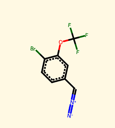 [N-]=[N+]=Cc1ccc(Br)c(OC(F)(F)F)c1